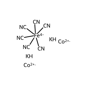 N#[C][Fe-4]([C]#N)([C]#N)([C]#N)([C]#N)[C]#N.[Co+2].[Co+2].[KH].[KH]